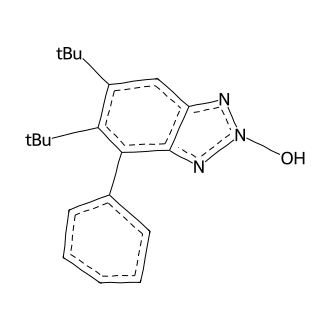 CC(C)(C)c1cc2nn(O)nc2c(-c2ccccc2)c1C(C)(C)C